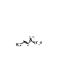 C=C(C=CC)C(=O)O